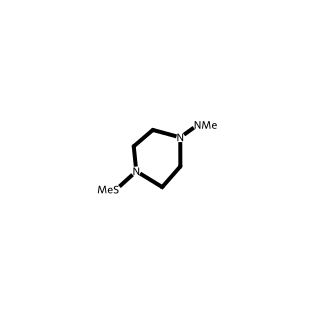 CNN1CCN(SC)CC1